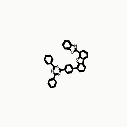 c1ccc(-c2nc(-c3ccccc3)nc(-c3ccc(-c4cccc5c4sc4c(-c6nc7ccccc7o6)cccc45)cc3)n2)cc1